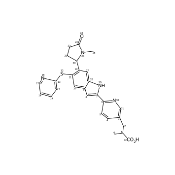 CC(Cc1ccc(-c2cc3cc(Sc4ccccn4)c(C4CCC(=O)N4C)cc3[nH]2)nc1)C(=O)O